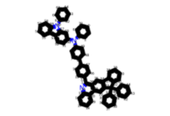 c1ccc(N(c2ccc(-c3ccc(-c4nc5ccccc5c5cc6c(cc45)-c4ccccc4C6(c4ccccc4)c4ccccc4)cc3)cc2)c2ccc3c4ccccc4n(-c4ccccc4)c3c2)cc1